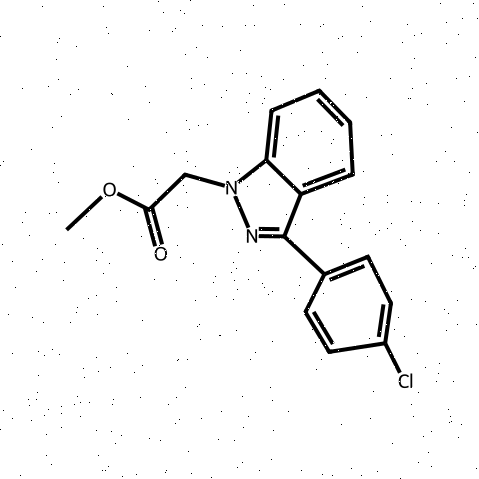 COC(=O)Cn1nc(-c2ccc(Cl)cc2)c2ccccc21